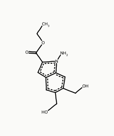 CCOC(=O)c1cc2cc(CO)c(CO)cc2n1N